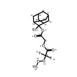 CCC1(OC(=O)COC(=O)C(F)(F)OOS)C2CC3CC(C2)CC1C3